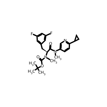 CN(C(=O)[C@H](Cc1cc(F)cc(F)c1)N(C)C(=O)OC(C)(C)C)c1ccc(C2CC2)nc1